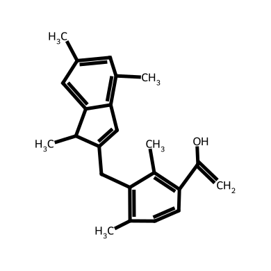 C=C(O)c1ccc(C)c(CC2=Cc3c(C)cc(C)cc3C2C)c1C